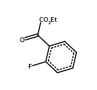 CCOC(=O)C(=O)c1ccccc1F